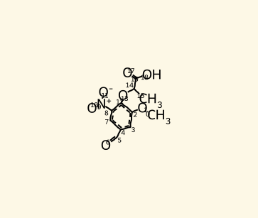 COc1cc(C=O)cc([N+](=O)[O-])c1OC(C)C(=O)O